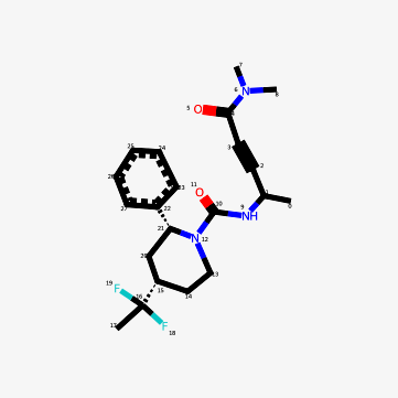 CC(C#CC(=O)N(C)C)NC(=O)N1CC[C@H](C(C)(F)F)C[C@@H]1c1ccccc1